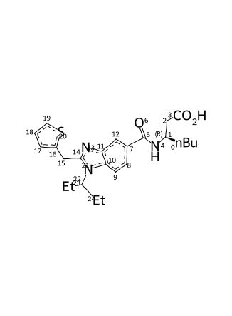 CCCC[C@H](CC(=O)O)NC(=O)c1ccc2c(c1)nc(Cc1cccs1)n2C(CC)CC